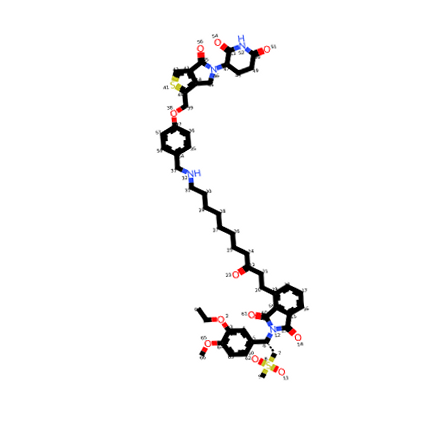 CCOc1cc([C@@H](CS(C)(=O)=O)N2C(=O)c3cccc(CCC(=O)CCCCCCCCNCc4ccc(OCc5scc6c5CN(C5CCC(=O)NC5=O)C6=O)cc4)c3C2=O)ccc1OC